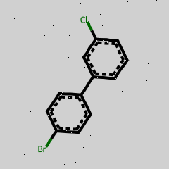 Clc1c[c]cc(-c2ccc(Br)cc2)c1